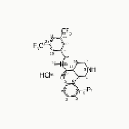 CC(C)c1ccccc1C1CNCCC1C(=O)N(C)Cc1cc(C(F)(F)F)cc(C(F)(F)F)c1.Cl